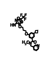 CN(Cc1cccnc1)C(=O)c1cc(Cl)cc(OCCCON(OC(=O)C(F)(F)F)C(=N)N)c1